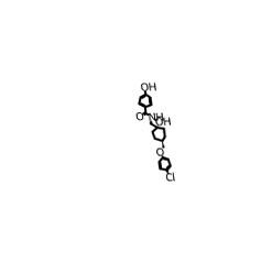 O=C(NC[C@]1(O)CC[C@H](COc2ccc(Cl)cc2)CC1)c1ccc(O)cc1